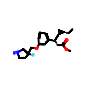 CC[C@H]1CC1[C@H](CC(=O)OC)c1cccc(OCC2(F)CCNC2)c1